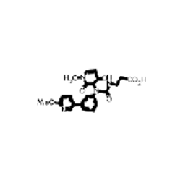 COc1ccc(-c2cccc(N(C(=O)NCCC(=O)O)C3C(=O)C=CN(C)C3=O)c2)cn1